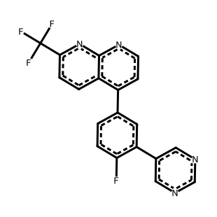 Fc1ccc(-c2ccnc3nc(C(F)(F)F)ccc23)cc1-c1cncnc1